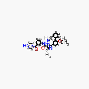 COc1ccc(C2NC(C)=C(C(=O)Nc3cccc(C(=O)N4CCNCC4)c3)N2)cc1-c1c(C)cccc1C